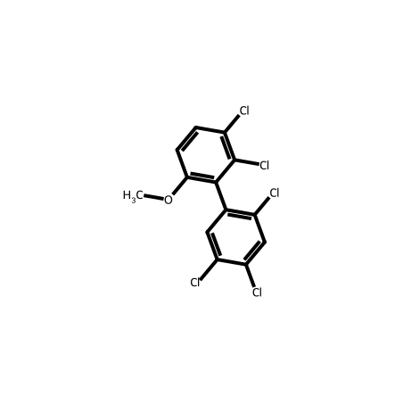 COc1ccc(Cl)c(Cl)c1-c1cc(Cl)c(Cl)cc1Cl